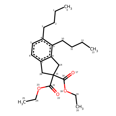 CCCCc1ccc2c(c1CCCC)CC(C(=O)OCC)(C(=O)OCC)C2